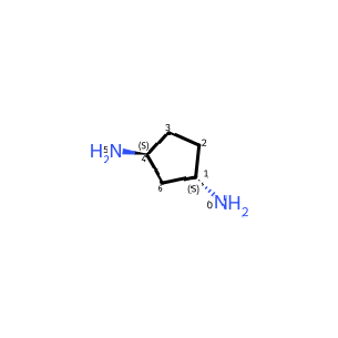 N[C@H]1CC[C@H](N)C1